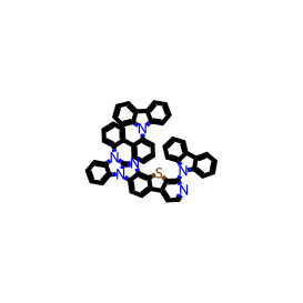 c1ccc(-n2c3ccccc3c3ccccc32)c(-c2ccccc2-n2c3ccccc3n3c4ccc5c6ccnc(-n7c8ccccc8c8ccccc87)c6sc5c4nc23)c1